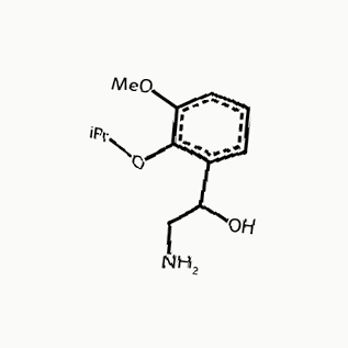 COc1cccc(C(O)CN)c1OC(C)C